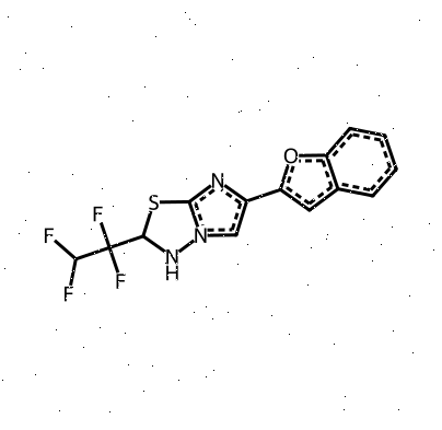 FC(F)C(F)(F)C1Nn2cc(-c3cc4ccccc4o3)nc2S1